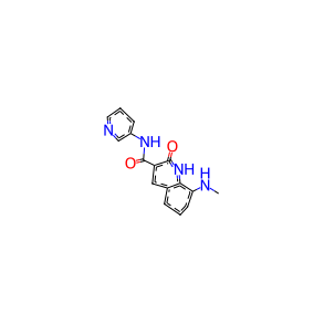 CNc1cccc2cc(C(=O)Nc3cccnc3)c(=O)[nH]c12